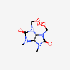 CN1C(=O)N(CO)C2C1N(C)C(=O)N2CO